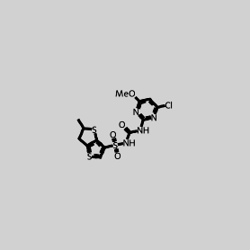 COc1cc(Cl)nc(NC(=O)NS(=O)(=O)c2csc3c2SC(C)C3)n1